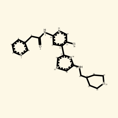 O=C(Cc1cccnc1)Nc1cc(-c2cncc(NCC3CCOCC3)n2)c(Cl)cn1